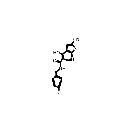 N#Cc1cc2c(O)c(C(=O)NCc3ccc(Cl)cc3)cnc2s1